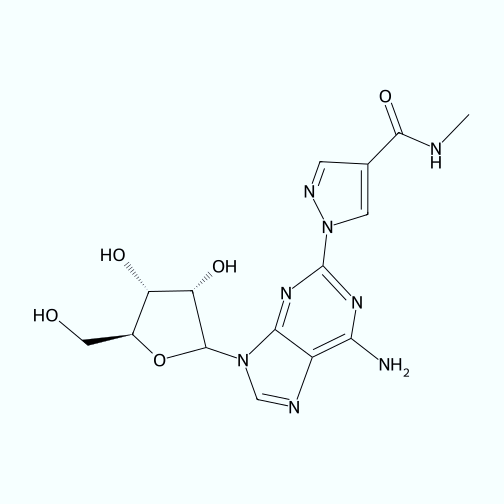 CNC(=O)c1cnn(-c2nc(N)c3ncn(C4O[C@@H](CO)[C@H](O)[C@@H]4O)c3n2)c1